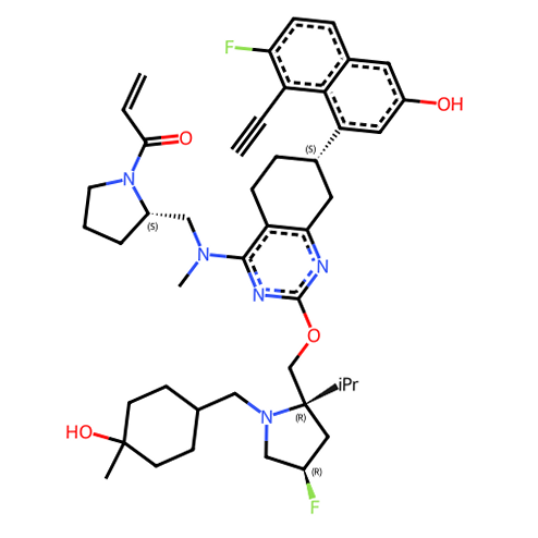 C#Cc1c(F)ccc2cc(O)cc([C@H]3CCc4c(nc(OC[C@]5(C(C)C)C[C@@H](F)CN5CC5CCC(C)(O)CC5)nc4N(C)C[C@@H]4CCCN4C(=O)C=C)C3)c12